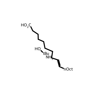 CC(C)(C)O.CCCCCCCCC=CCCCCCCCC(=O)O.N